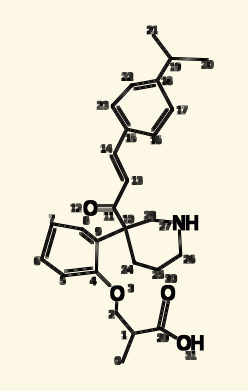 CC(COc1ccccc1C1(C(=O)C=Cc2ccc(C(C)C)cc2)CCCNC1)C(=O)O